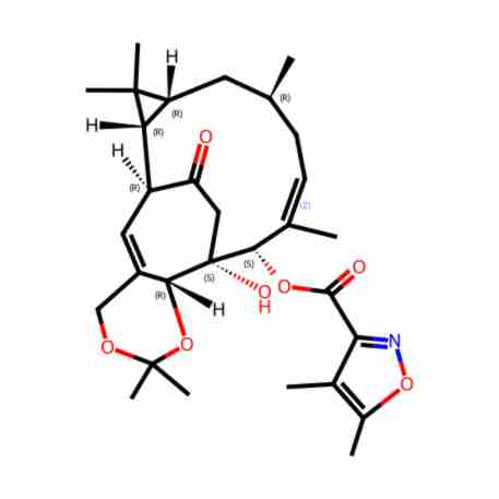 C/C1=C/C[C@H](C)C[C@@H]2[C@H]([C@@H]3C=C4COC(C)(C)O[C@H]4[C@@](O)(CC3=O)[C@H]1OC(=O)c1noc(C)c1C)C2(C)C